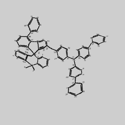 CC1(C)c2ccccc2C2(c3cc(-c4ccc(N(c5ccc(-c6ccccc6)cc5)c5ccc(-c6ccccc6)cc5)cc4)ccc3-c3c(-c4ccccc4)cccc32)c2ccccc21